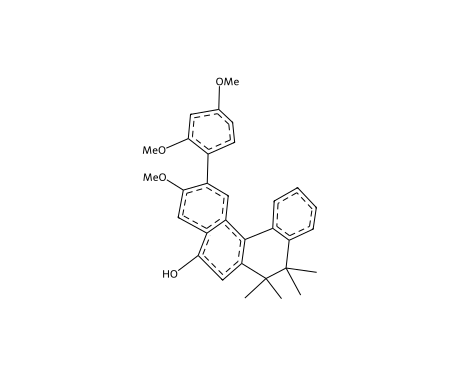 COc1ccc(-c2cc3c4c(cc(O)c3cc2OC)C(C)(C)C(C)(C)c2ccccc2-4)c(OC)c1